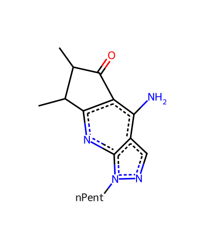 CCCCCn1ncc2c(N)c3c(nc21)C(C)C(C)C3=O